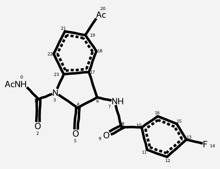 CC(=O)NC(=O)N1C(=O)C(NC(=O)c2ccc(F)cc2)c2cc(C(C)=O)ccc21